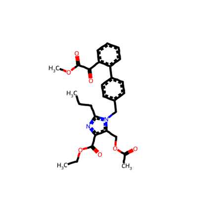 CCCc1nc(C(=O)OCC)c(COC(C)=O)n1Cc1ccc(-c2ccccc2C(=O)C(=O)OC)cc1